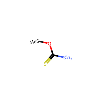 CSOC(N)=S